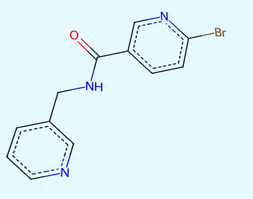 O=C(NCc1cccnc1)c1ccc(Br)nc1